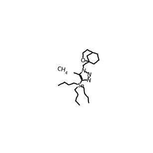 C.CCC[CH2][Sn]([CH2]CCC)([CH2]CCC)[c]1nnn(CC23CCCC(CCO2)C3)c1C